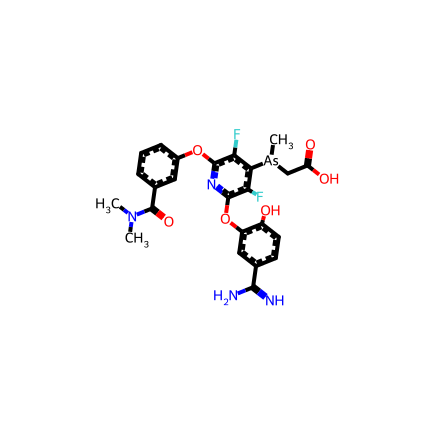 CN(C)C(=O)c1cccc(Oc2nc(Oc3cc(C(=N)N)ccc3O)c(F)c([As](C)CC(=O)O)c2F)c1